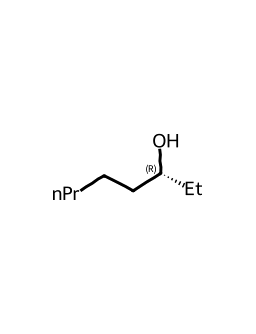 CCCCC[C@H](O)CC